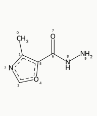 Cc1ncoc1C(=O)NN